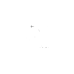 CCOC(=O)C(O)=C(C(=O)OCC)N(C=O)C1CC1